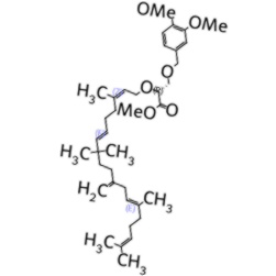 C=C(C/C=C(\C)CCC=C(C)C)CCC(C)(C)/C=C/CC/C(C)=C\CO[C@H](COCc1ccc(OC)c(OC)c1)C(=O)OC